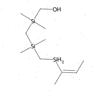 CC=C(C)[SiH2]C[Si](C)(C)C[Si](C)(C)CO